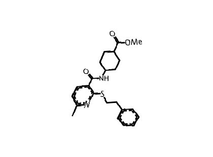 COC(=O)C1CCC(NC(=O)c2ccc(C)nc2SCCc2ccccc2)CC1